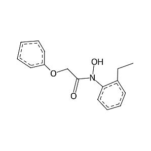 CCc1ccccc1N(O)C(=O)COc1ccccc1